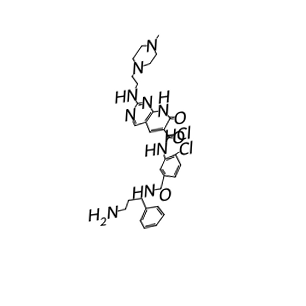 CN1CCN(CCNc2ncc3cc(C(=O)Nc4cc(C(=O)NC(CCN)c5ccccc5)ccc4Cl)c(=O)[nH]c3n2)CC1.Cl